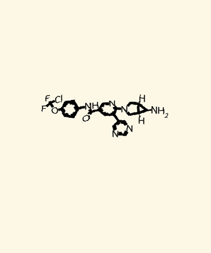 N[C@H]1[C@H]2CN(c3ncc(C(=O)Nc4ccc(OC(F)(F)Cl)cc4)cc3-c3cncnc3)C[C@@H]12